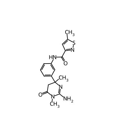 Cc1cc(C(=O)Nc2cccc(C3(C)CC(=O)N(C)C(N)=N3)c2)ns1